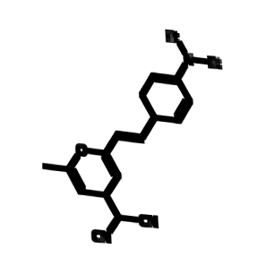 [C-]#[N+]C(C#N)C1C=C(C)OC(/C=C/C2C=CC(N(CC)CC)=CC2)=C1